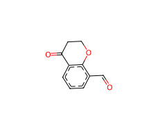 O=Cc1cccc2c1OCCC2=O